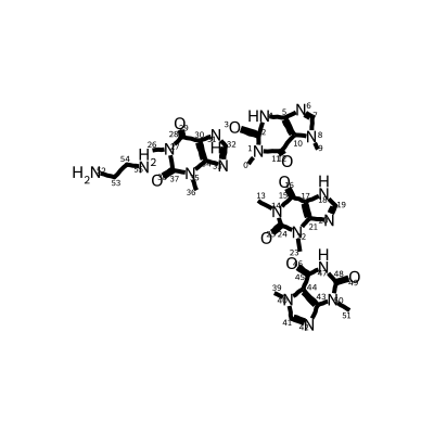 Cn1c(=O)[nH]c2ncn(C)c2c1=O.Cn1c(=O)c2[nH]cnc2n(C)c1=O.Cn1c(=O)c2[nH]cnc2n(C)c1=O.Cn1cnc2c1c(=O)[nH]c(=O)n2C.NCCN